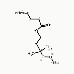 CCCCCCSCCC(=O)OCCC(C)(C)OOC(C)(C)C